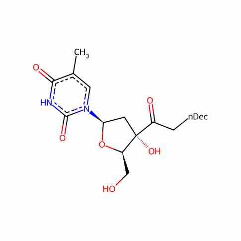 CCCCCCCCCCCC(=O)[C@]1(O)C[C@H](n2cc(C)c(=O)[nH]c2=O)O[C@@H]1CO